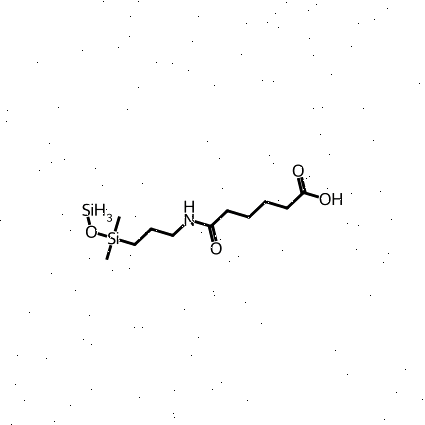 C[Si](C)(CCCNC(=O)CCCCC(=O)O)O[SiH3]